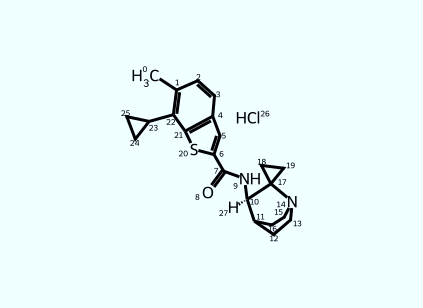 Cc1ccc2cc(C(=O)N[C@@H]3C4CCN(CC4)C34CC4)sc2c1C1CC1.Cl